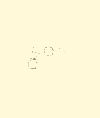 CCc1nc2ccc(C)nc2n1-c1ccc(CCO)cc1